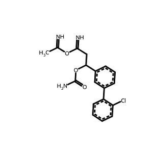 CC(=N)OC(=N)CC(OC(N)=O)c1cccc(-c2ccccc2Cl)c1